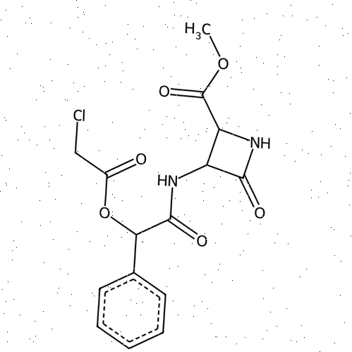 COC(=O)C1NC(=O)C1NC(=O)C(OC(=O)CCl)c1ccccc1